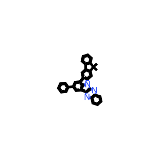 CC1(C)c2ccccc2-c2cc3c4cc(-c5ccccc5)cc5c6nc7ccccc7nc6n(c3cc21)c45